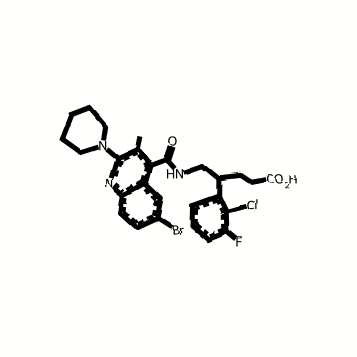 Cc1c(N2CCCCC2)nc2ccc(Br)cc2c1C(=O)NCC(CCC(=O)O)c1cccc(F)c1Cl